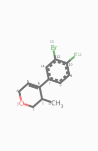 CC1COCC=C1c1ccc(F)c(Br)c1